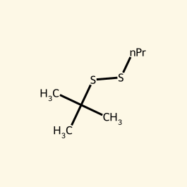 CCCSSC(C)(C)C